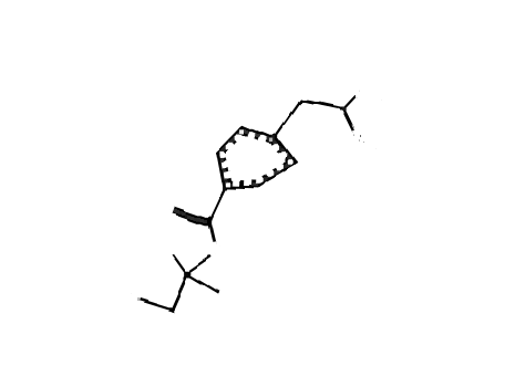 CC(C)(CCl)OC(=O)c1ccc(CC(N)C(=O)O)cc1